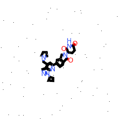 O=C1CCC(N2Cc3cc(-c4cc(CN5CCCC5)c5cnn(C6CCC6)c5n4)ccc3C2=O)C(=O)N1